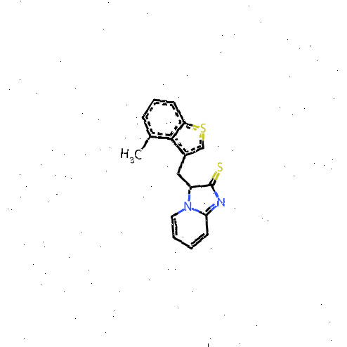 Cc1cccc2scc(CC3C(=S)N=C4C=CC=CN43)c12